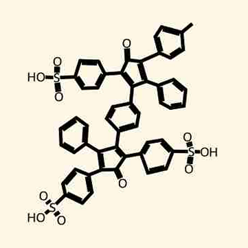 Cc1ccc(C2=C(c3ccccc3)C(c3ccc(C4=C(c5ccc(S(=O)(=O)O)cc5)C(=O)C(c5ccc(S(=O)(=O)O)cc5)=C4c4ccccc4)cc3)=C(c3ccc(S(=O)(=O)O)cc3)C2=O)cc1